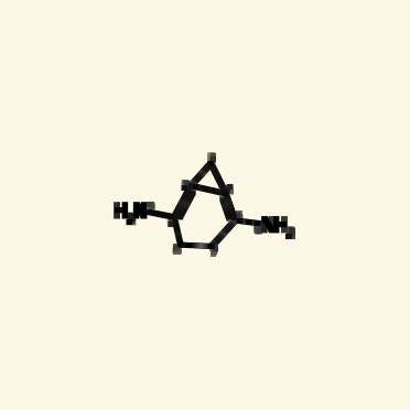 NC1=C2CC2=C(N)CC1